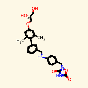 Cc1cc(OC[C@H](O)CO)cc(C)c1-c1cccc(CNc2ccc(Cn3oc(=O)[nH]c3=O)cc2)c1